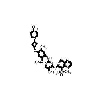 COc1cc(O[C@H]2C[C@H](N3CCN(C)CC3)C2)c(C)cc1Nc1ncc(Br)c(Nc2ccc3nccnc3c2P(C)(C)=O)n1